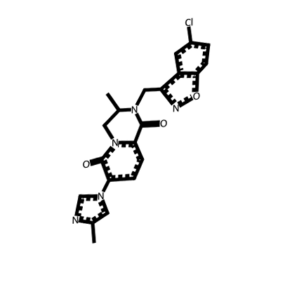 Cc1cn(-c2ccc3n(c2=O)CC(C)N(Cc2noc4ccc(Cl)cc24)C3=O)cn1